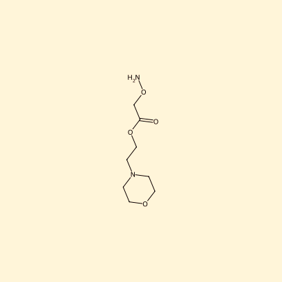 NOCC(=O)OCCN1CCOCC1